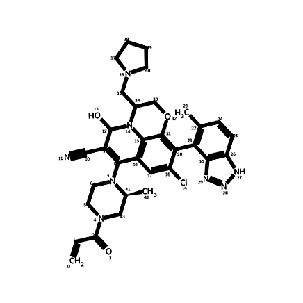 C=CC(=O)N1CCN(C2=C(C#N)C(O)N3c4c2cc(Cl)c(-c2c(C)ccc5[nH]nnc25)c4OCC3CN2CCCC2)[C@@H](C)C1